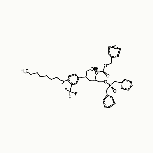 CCCCCCCOc1ccc(C(CO)CC(COP(=O)(Cc2ccccc2)Cc2ccccc2)NC(=O)OCc2ccccc2)cc1C(F)(F)F